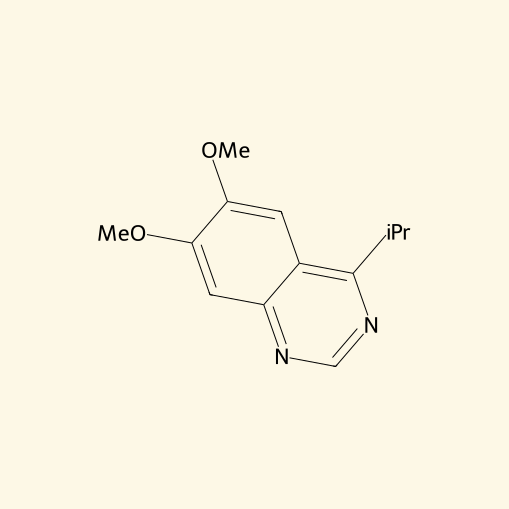 COc1cc2ncnc(C(C)C)c2cc1OC